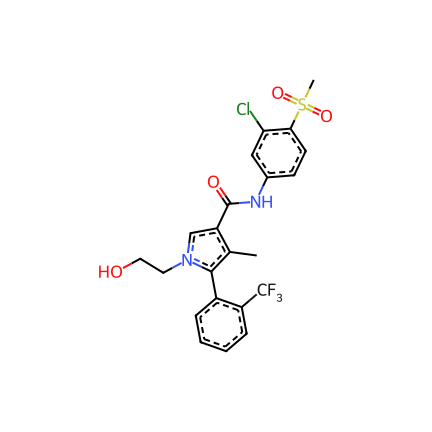 Cc1c(C(=O)Nc2ccc(S(C)(=O)=O)c(Cl)c2)cn(CCO)c1-c1ccccc1C(F)(F)F